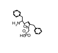 NC(Cc1ccccc1)C1C=C(Cc2ccccc2)N(CS(=O)(=O)O)O1